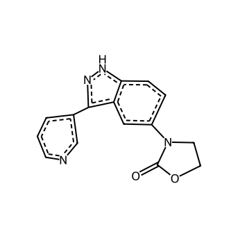 O=C1OCCN1c1ccc2[nH]nc(-c3cccnc3)c2c1